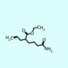 C=CCC(CCCC(N)=O)C(=O)OCC